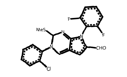 CSC1N=c2c(cc(C=O)n2-c2c(F)cccc2F)=CN1c1ccccc1Cl